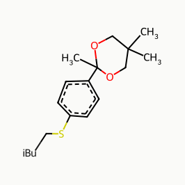 CCC(C)CSc1ccc(C2(C)OCC(C)(C)CO2)cc1